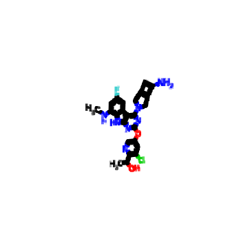 CNc1cc(F)cc2c1[nH]c1nc(Oc3cnc(C(C)O)c(Cl)c3)nc(N3CC4C[C@@H](N)C4C3)c12